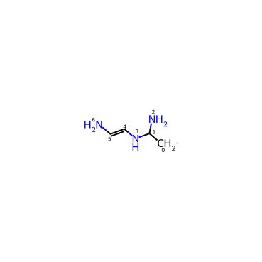 [CH2]C(N)NC=CN